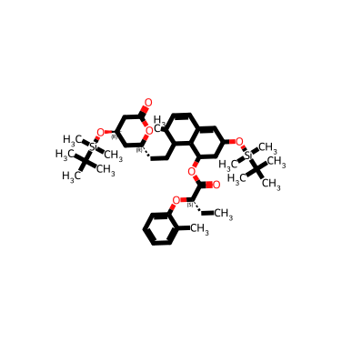 CC[C@H](Oc1ccccc1C)C(=O)OC1CC(O[Si](C)(C)C(C)(C)C)C=C2C=CC(C)C(CC[C@@H]3C[C@@H](O[Si](C)(C)C(C)(C)C)CC(=O)O3)C21